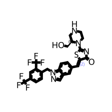 O=C1N=C(N2CCNC[C@@H]2CO)S/C1=C\c1ccc2c(cnn2Cc2ccc(C(F)(F)F)cc2C(F)(F)F)c1